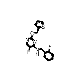 Fc1ccccc1CNc1nc(OCc2cccs2)ncc1F